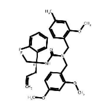 C=CC[C@](CF)(NC(=O)N(Cc1ccc(C)cc1OC)Cc1ccc(OC)cc1OC)c1ccccc1F